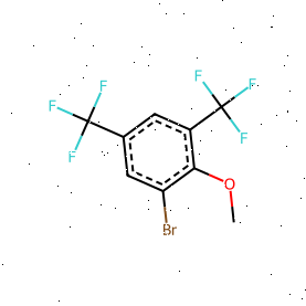 COc1c(Br)cc(C(F)(F)F)cc1C(F)(F)F